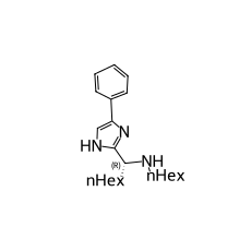 CCCCCCN[C@H](CCCCCC)c1nc(-c2ccccc2)c[nH]1